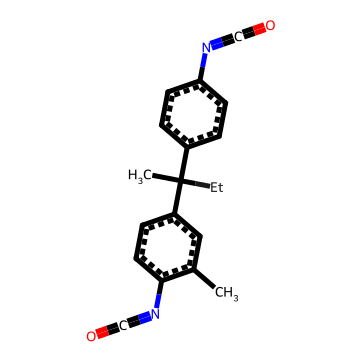 CCC(C)(c1ccc(N=C=O)cc1)c1ccc(N=C=O)c(C)c1